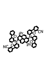 CC(C)c1cc(N(c2cccc3c2oc2ccccc23)c2cccc3c2oc2c(C#N)cccc23)c2ccc3c(C(C)C)cc(N(c4cccc5c4oc4ccccc45)c4cccc5c4oc4c(C#N)cccc45)c4ccc1c2c34